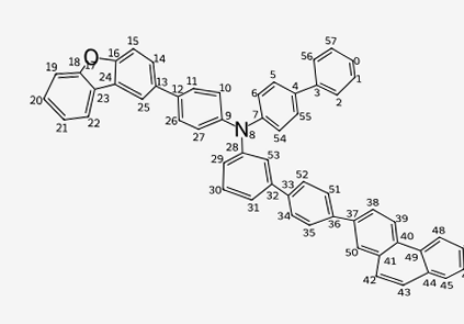 c1ccc(-c2ccc(N(c3ccc(-c4ccc5oc6ccccc6c5c4)cc3)c3cccc(-c4ccc(-c5ccc6c(ccc7ccccc76)c5)cc4)c3)cc2)cc1